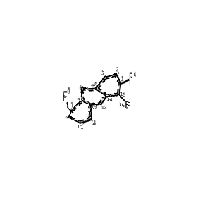 Fc1[c]cc2cc3c(F)c[c]cc3cc2c1F